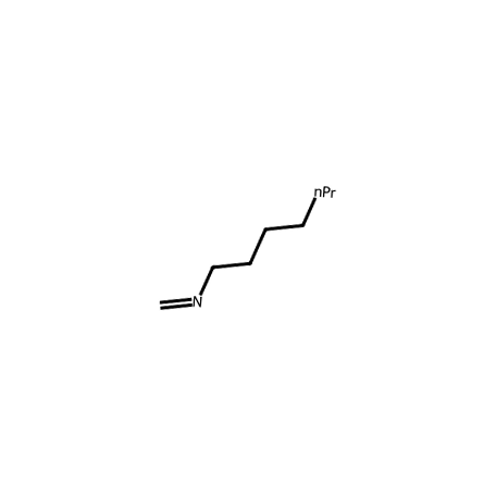 C=NCCCCCCC